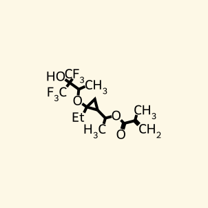 C=C(C)C(=O)OC(C)C1CC1(CC)OC(C)C(O)(C(F)(F)F)C(F)(F)F